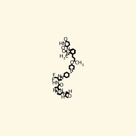 C[C@H](CCc1cccc2c1n(C)c(=O)n2C1CCC(=O)NC1=O)OC1CCN(C[C@H]2CC[C@H](n3cc(NC(=O)c4cnn5ccc(N6C[C@H]7C[C@@H]6CO7)nc45)c(C(F)F)n3)CC2)CC1